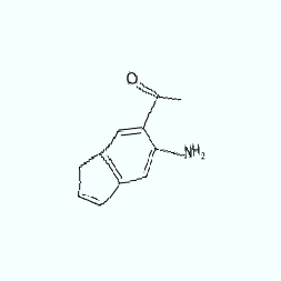 CC(=O)c1cc2c(cc1N)C=CC2